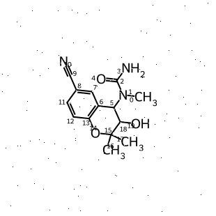 CN(C(N)=O)C1c2cc(C#N)ccc2OC(C)(C)C1O